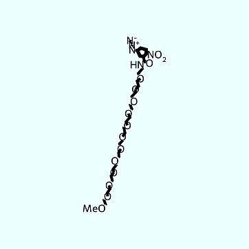 COCCOCCOCCOCCOCCOCCOCCOCCOCCOCCOCCOCCNC(=O)c1cc(N=[N+]=[N-])ccc1[N+](=O)[O-]